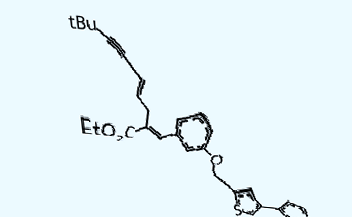 CCOC(=O)C(=Cc1cccc(OCc2cc(-c3ccsc3)cs2)c1)CC=CC#CC(C)(C)C